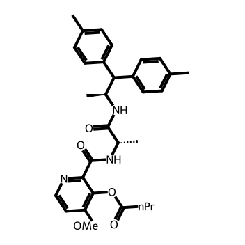 CCCC(=O)Oc1c(OC)ccnc1C(=O)N[C@@H](C)C(=O)N[C@@H](C)C(c1ccc(C)cc1)c1ccc(C)cc1